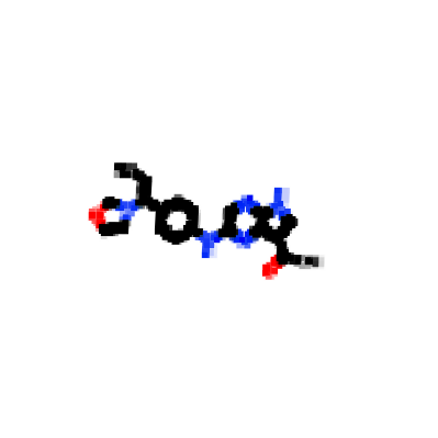 CC(C)(C)C(=O)c1c[nH]c2ncc(Nc3ccc(C(=CC#N)N4C=COC4)cc3)nc12